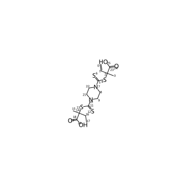 C=CC(C)(SC(=S)N1CCN(C(=S)SC(C)(CC)C(=O)O)CC1)C(=O)O